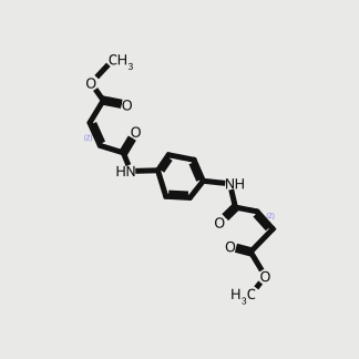 COC(=O)/C=C\C(=O)Nc1ccc(NC(=O)/C=C\C(=O)OC)cc1